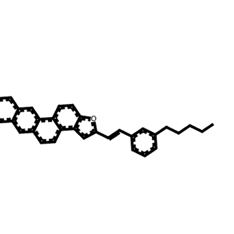 CCCCCc1cccc(/C=C/c2cc3c(ccc4c5cc6ccccc6cc5ccc34)o2)c1